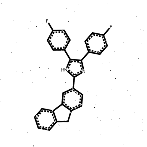 Fc1ccc(-c2nc(-c3ccc4c(c3)-c3ccccc3C4)[nH]c2-c2ccc(F)cc2)cc1